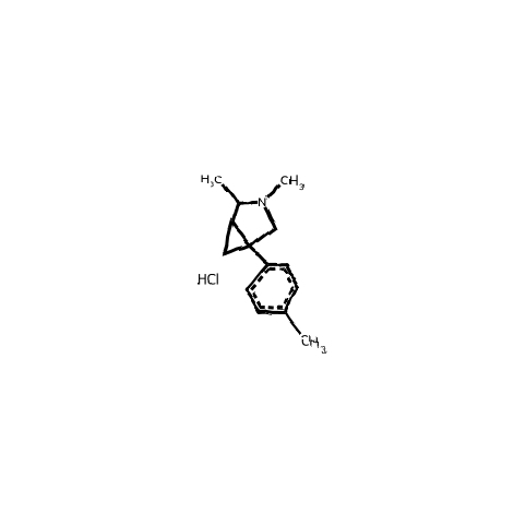 Cc1ccc(C23CC2C(C)N(C)C3)cc1.Cl